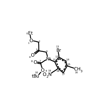 CCOCC(=O)CN(C(=O)OC(C)(C)C)c1c(Br)cc(C)cc1[N+](=O)[O-]